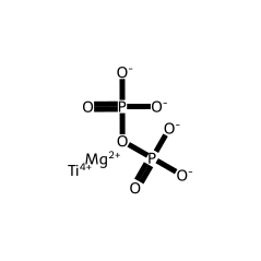 O=P([O-])([O-])OP(=O)([O-])[O-].[Mg+2].[Ti+4]